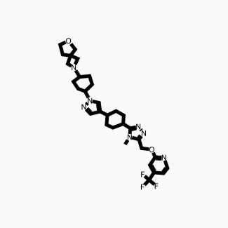 Cn1c(COc2cc(C(F)(F)F)ccn2)nnc1C1CCC(c2cnn(C3CCC(N4CC5(CCOC5)C4)CC3)c2)CC1